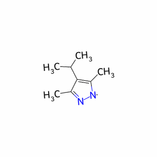 CC1=N[N]C(C)=C1C(C)C